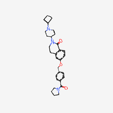 O=C(c1ccc(COc2ccc3c(c2)CCN(C2CCN(C4CCC4)CC2)C3=O)cc1)N1CCCC1